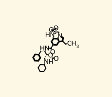 CCc1cn2c3c(cc(C(=O)N[C@@H](Cc4ccccc4)[C@@H](CNC4CCCCC4)OC=O)cc13)NS(=O)(=O)C2